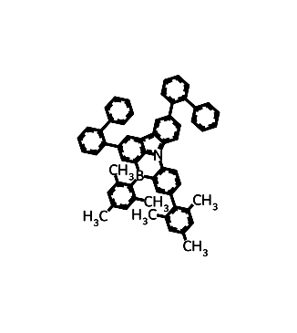 Cc1cc(C)c(B2c3cc(-c4c(C)cc(C)cc4C)ccc3-n3c4ccc(-c5ccccc5-c5ccccc5)cc4c4cc(-c5ccccc5-c5ccccc5)cc2c43)c(C)c1